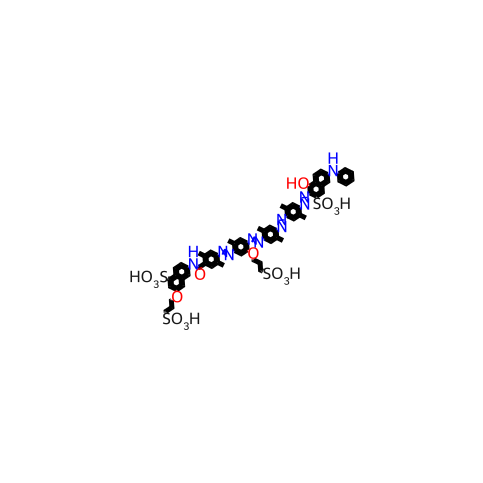 Cc1cc(N=Nc2cc(C)c(N=Nc3cc(C)c(C(=O)Nc4ccc5c(S(=O)(=O)O)cc(OCCCS(=O)(=O)O)cc5c4)cc3C)cc2OCCCS(=O)(=O)O)c(C)cc1N=Nc1cc(C)c(N=Nc2c(S(=O)(=O)O)cc3cc(Nc4ccccc4)ccc3c2O)cc1C